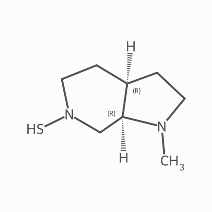 CN1CC[C@@H]2CCN(S)C[C@@H]21